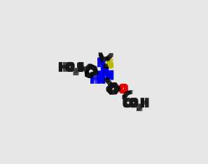 Cc1nc(N2N=C(c3cccc(OC(C)CC(=O)O)c3)NN2c2ccc(S(=O)(=O)O)cc2)sc1C